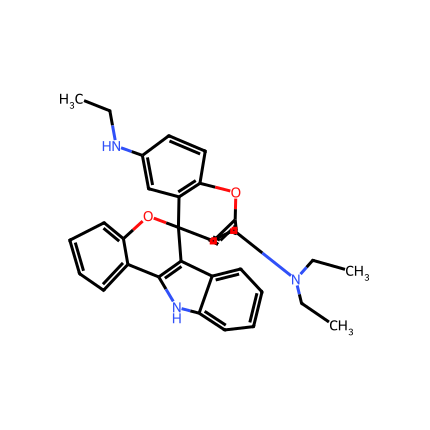 CCNc1ccc2c(c1)C1(Oc3ccccc3-c3[nH]c4ccccc4c31)c1ccc(N(CC)CC)cc1O2